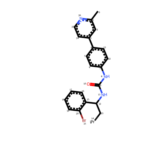 Cc1cc(-c2ccc(NC(=O)NC(CC(C)C)c3ccccc3Br)cc2)ccn1